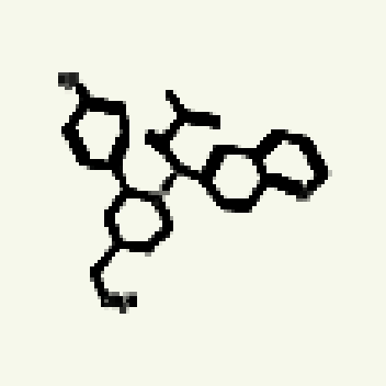 C=C(C)C(=C)[C@H](c1ccc2ncccc2c1)N1CC[C@@H](CC(=O)O)C[C@H]1c1ccc(C(F)(F)F)cc1